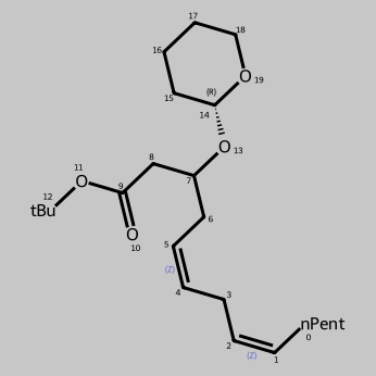 CCCCC/C=C\C/C=C\CC(CC(=O)OC(C)(C)C)O[C@@H]1CCCCO1